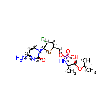 CC(C)OC(=O)[C@H](C)NP(=O)(O)OC[C@@H]1C[C@H](F)[C@H](n2ccc(N)nc2=O)S1